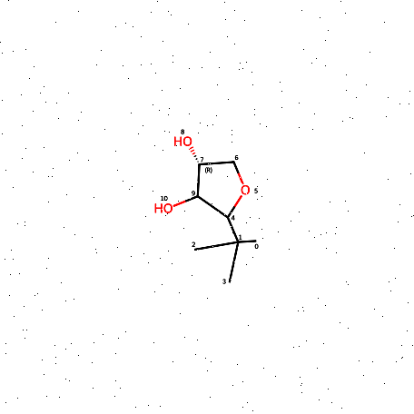 CC(C)(C)C1OC[C@@H](O)C1O